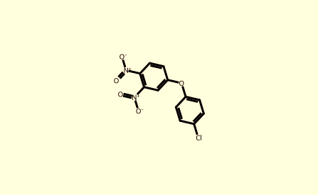 O=[N+]([O-])c1ccc(Oc2ccc(Cl)cc2)cc1[N+](=O)[O-]